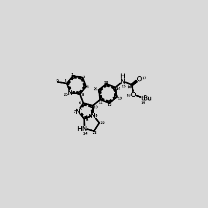 Cc1cccc(-c2nc3n(c2-c2ccc(NC(=O)OC(C)(C)C)cc2)CCN3)n1